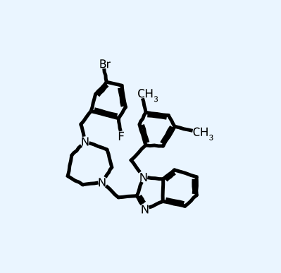 Cc1cc(C)cc(Cn2c(CN3CCCN(Cc4cc(Br)ccc4F)CC3)nc3ccccc32)c1